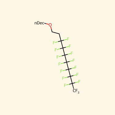 CCCCCCCCCCOCCC(F)(F)C(F)(F)C(F)(F)C(F)(F)C(F)(F)C(F)(F)C(F)(F)C(F)(F)F